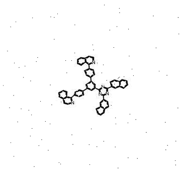 c1ccc2cc(-c3nc(-c4cc(-c5ccc(-c6nccc7ccccc67)cc5)cc(-c5ccc(-c6nccc7ccccc67)cc5)c4)nc(-c4ccc5ccccc5c4)n3)ccc2c1